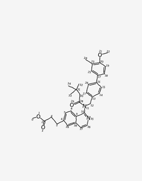 COC(=O)CCc1ccc2c(N(Cc3ccc(-c4ccc(OC)c(C)c4)cc3)C(=O)CC(C)(C)C)nccc2c1